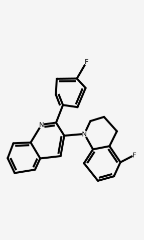 Fc1ccc(-c2nc3ccccc3cc2N2CCCc3c(F)cccc32)cc1